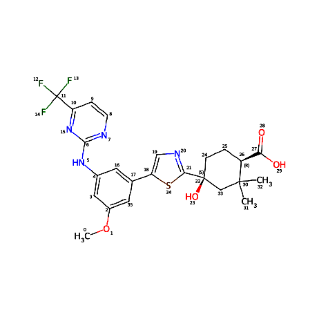 COc1cc(Nc2nccc(C(F)(F)F)n2)cc(-c2cnc([C@]3(O)CC[C@@H](C(=O)O)C(C)(C)C3)s2)c1